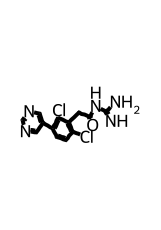 N=C(N)NC(=O)Cc1c(Cl)ccc(-c2cncnc2)c1Cl